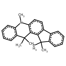 CN1c2ccccc2C(C)(C)c2c1ccc1c2C(C)(C)c2ccccc2-1